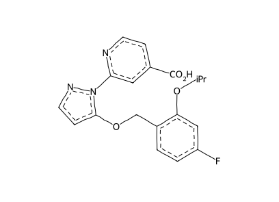 CC(C)Oc1cc(F)ccc1COc1ccnn1-c1cc(C(=O)O)ccn1